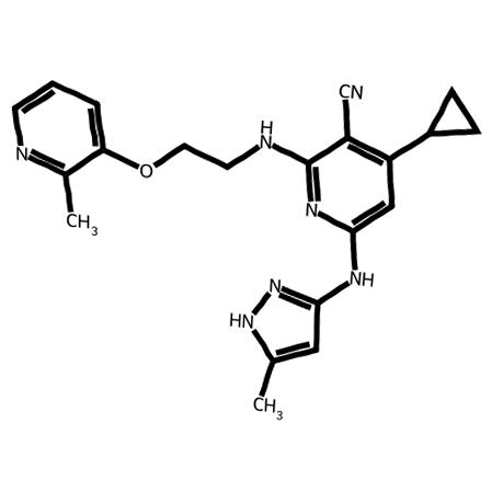 Cc1cc(Nc2cc(C3CC3)c(C#N)c(NCCOc3cccnc3C)n2)n[nH]1